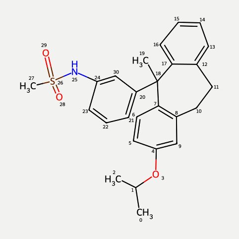 CC(C)Oc1ccc2c(c1)CCc1ccccc1C2(C)c1cccc(NS(C)(=O)=O)c1